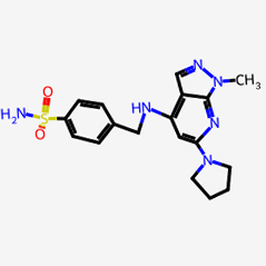 Cn1ncc2c(NCc3ccc(S(N)(=O)=O)cc3)cc(N3CCCC3)nc21